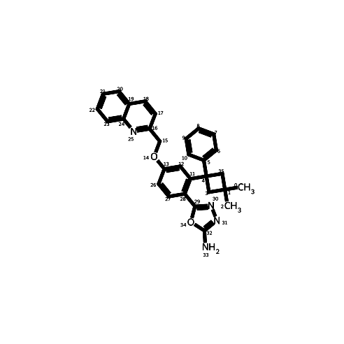 CC1(C)CC(c2ccccc2)(c2cc(OCc3ccc4ccccc4n3)ccc2-c2nnc(N)o2)C1